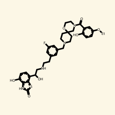 CCOc1ccc(O)c(C(=O)N2CCOC3(CCN(Cc4cc(F)cc(CCNCC(O)c5ccc(O)c6[nH]c(=O)sc56)c4)CC3)C2)c1